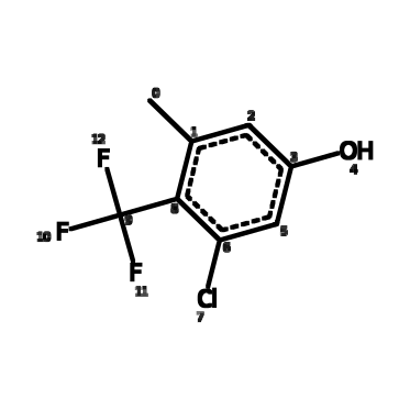 Cc1cc(O)cc(Cl)c1C(F)(F)F